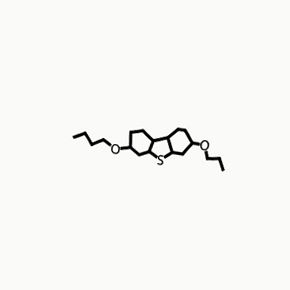 CCCCOC1CCC2C(C1)SC1CC(OCCC)CCC12